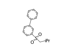 CC(C)CS(=O)(=O)c1cccc(-c2ccccc2)c1